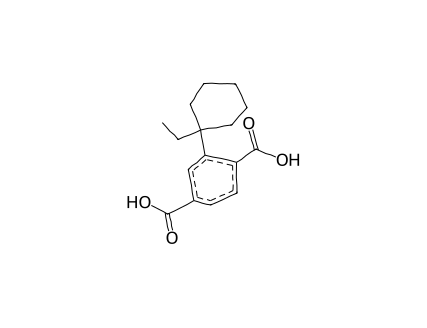 CCC1(c2cc(C(=O)O)ccc2C(=O)O)CCCCC1